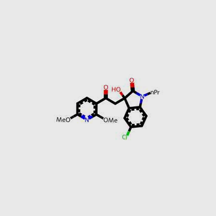 CCCN1C(=O)C(O)(CC(=O)c2ccc(OC)nc2OC)c2cc(Cl)ccc21